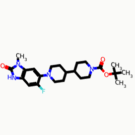 Cn1c(=O)[nH]c2cc(F)c(N3CCC(C4CCN(C(=O)OC(C)(C)C)CC4)CC3)cc21